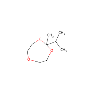 CC(C)C1(C)OCCOCCO1